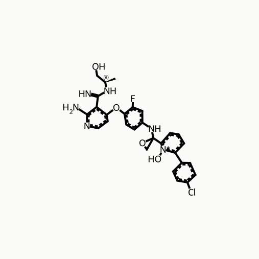 C[C@H](CO)NC(=N)c1c(Oc2ccc(NC3(c4cccc(-c5ccc(Cl)cc5)[n+]4O)CO3)cc2F)ccnc1N